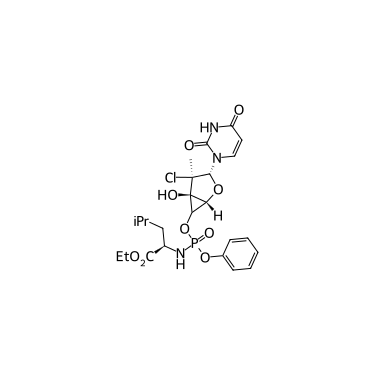 CCOC(=O)[C@@H](CC(C)C)NP(=O)(Oc1ccccc1)OC1[C@H]2O[C@@H](n3ccc(=O)[nH]c3=O)[C@](C)(Cl)[C@@]12O